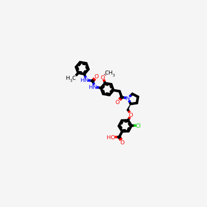 COc1cc(CC(=O)N2CCC[C@H]2COc2ccc(C(=O)O)cc2Cl)ccc1NC(=O)Nc1ccccc1C